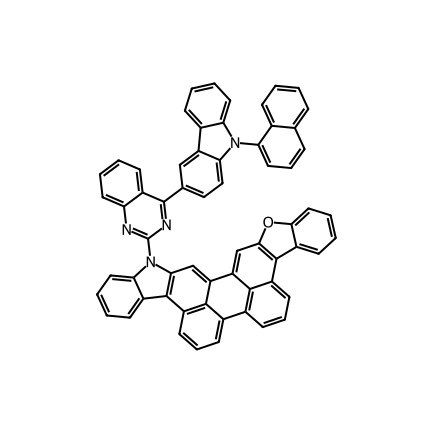 c1ccc2c(-n3c4ccccc4c4cc(-c5nc(-n6c7ccccc7c7c8cccc9c%10cccc%11c%12c(cc(c(cc76)c98)c%10%11)oc6ccccc6%12)nc6ccccc56)ccc43)cccc2c1